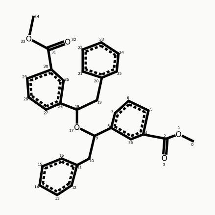 COC(=O)c1cccc(C(Cc2ccccc2)OC(Cc2ccccc2)c2cccc(C(=O)OC)c2)c1